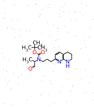 CC(C=O)N(CCCc1ccc2c(n1)NCCC2)C(=O)OC(C)(C)C